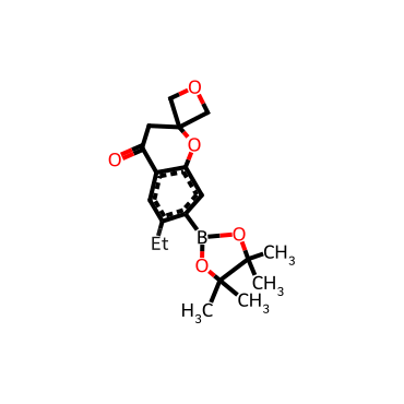 CCc1cc2c(cc1B1OC(C)(C)C(C)(C)O1)OC1(COC1)CC2=O